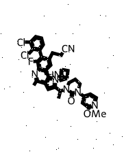 COc1cc(N2CCCN(C(C)c3cc4c(C)nc5c(F)c(-c6cccc(Cl)c6Cl)c(CCC#N)cc5c4n3C3C4CNC3C4)C2=O)ccn1